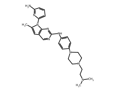 Cc1cc2cnc(Nc3ccc(N4CCN(CCN(C)C)CC4)cc3)nc2n1-c1cccc(N)n1